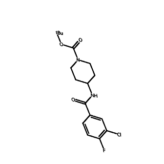 CC(C)(C)OC(=O)N1CCC(NC(=O)c2ccc(F)c(Cl)c2)CC1